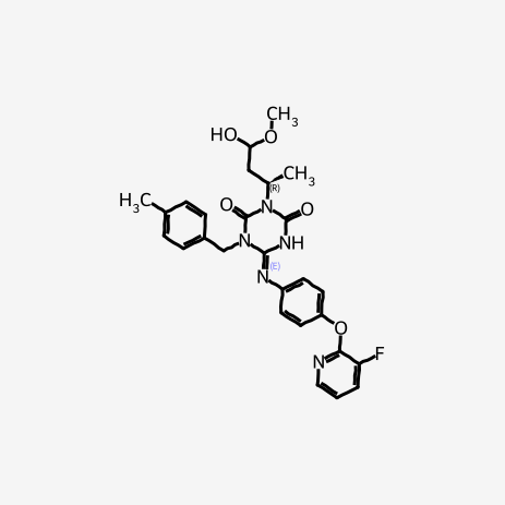 COC(O)C[C@@H](C)n1c(=O)[nH]/c(=N\c2ccc(Oc3ncccc3F)cc2)n(Cc2ccc(C)cc2)c1=O